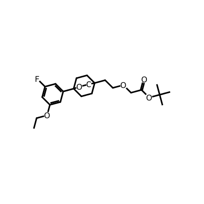 CCOc1cc(F)cc(C23CCC(CCOCC(=O)OC(C)(C)C)(CC2)CO3)c1